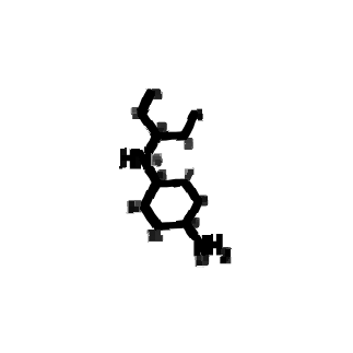 CCC(CC)NC1CCC(N)CC1